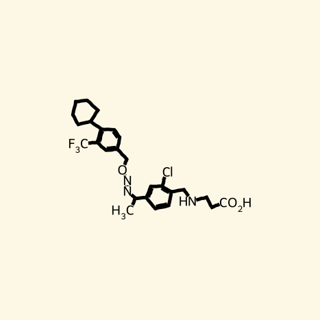 CC(N=NOCc1ccc(C2CCCCC2)c(C(F)(F)F)c1)c1ccc(CNCCC(=O)O)c(Cl)c1